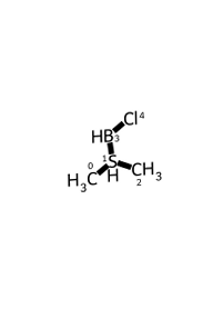 C[SH](C)BCl